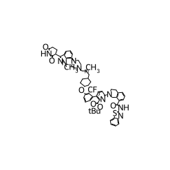 C[C@H](CC1CCC(Oc2cccc(-c3ccc(N4CCc5cccc(C(=O)Nc6nc7ccccc7s6)c5C4)nc3C(=O)OC(C)(C)C)c2C(F)(F)F)CC1)CN1CCN(c2cccc3c(C4CCC(=O)NC4=O)nn(C)c23)CC1